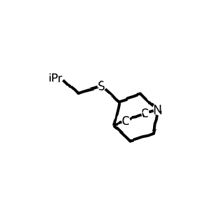 CC(C)CSC1CN2CCC1CC2